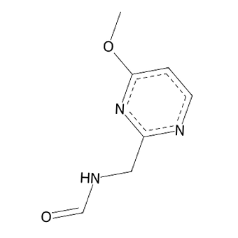 COc1ccnc(CNC=O)n1